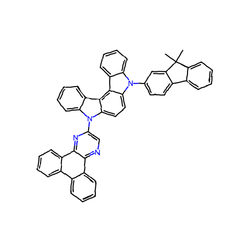 CC1(C)c2ccccc2-c2ccc(-n3c4ccccc4c4c5c6ccccc6n(-c6cnc7c8ccccc8c8ccccc8c7n6)c5ccc43)cc21